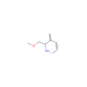 C=C(/C=C\C)C(N)COC